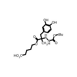 CC(C)(C)OC(=O)NNC(C)(Cc1ccc(O)c(O)c1)C(=O)OCCCCC(=O)O